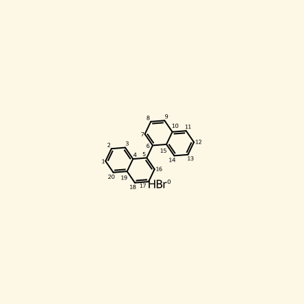 Br.c1ccc2c(-c3cccc4ccccc34)cccc2c1